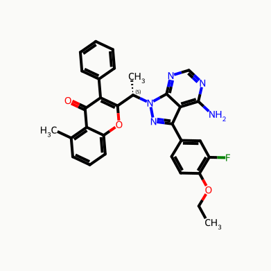 CCOc1ccc(-c2nn([C@@H](C)c3oc4cccc(C)c4c(=O)c3-c3ccccc3)c3ncnc(N)c23)cc1F